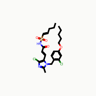 CCCC=CS(=O)(=O)NC(=O)C=Cc1c(Cl)nc(C)n1Cc1ccc(OCCCCC)cc1Cl